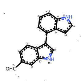 O=Cc1ccc2c(-c3cccc4[nH]ccc34)c[nH]c2c1